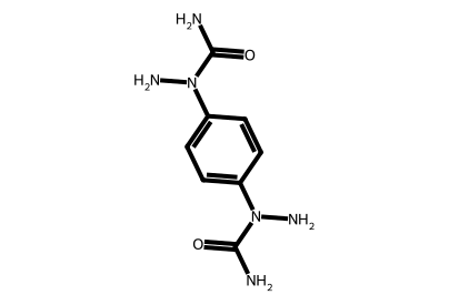 NC(=O)N(N)c1ccc(N(N)C(N)=O)cc1